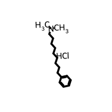 CN(C)CCCCCCCCCc1ccccc1.Cl